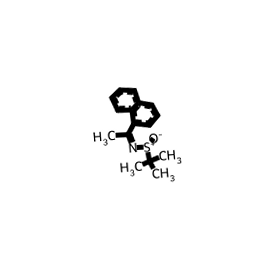 C/C(=N/[S+]([O-])C(C)(C)C)c1cccc2ccccc12